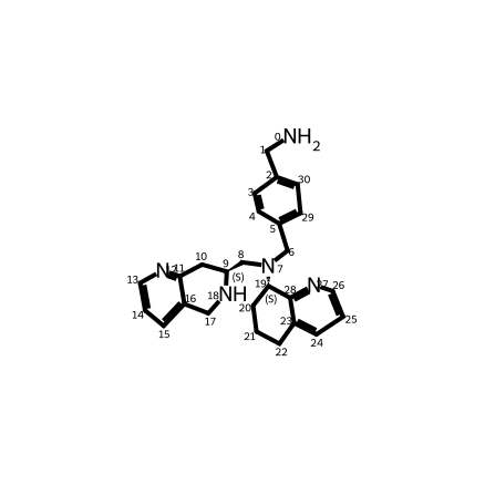 NCc1ccc(CN(C[C@@H]2Cc3ncccc3CN2)[C@H]2CCCc3cccnc32)cc1